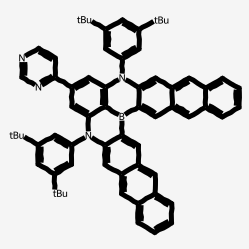 CC(C)(C)c1cc(N2c3cc4cc5ccccc5cc4cc3B3c4cc5cc6ccccc6cc5cc4N(c4cc(C(C)(C)C)cc(C(C)(C)C)c4)c4cc(-c5ccncn5)cc2c43)cc(C(C)(C)C)c1